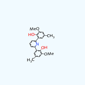 COc1cc(C)cc(-c2cccc(-c3cc(C)cc(OC)c3O)n2)c1O